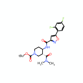 CN(C)C(=O)[C@@H]1CN(C(=O)OC(C)(C)C)CC[C@H]1NC(=O)c1cc(-c2ccc(F)cc2F)on1